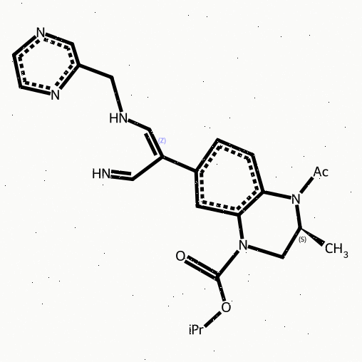 CC(=O)N1c2ccc(/C(C=N)=C/NCc3cnccn3)cc2N(C(=O)OC(C)C)C[C@@H]1C